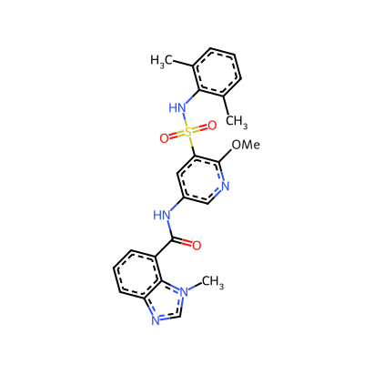 COc1ncc(NC(=O)c2cccc3ncn(C)c23)cc1S(=O)(=O)Nc1c(C)cccc1C